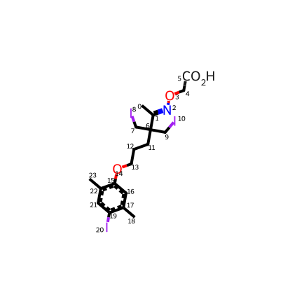 CC(=NOCC(=O)O)C(CI)(CI)CCCOc1cc(C)c(I)cc1C